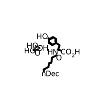 CCCCCCCCCCCCCCCC(=O)NC(Cc1ccc(O)cc1)C(=O)O.O=P(O)(O)O